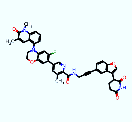 Cc1cc(-c2cc3c(cc2F)N(c2cccc4c2cc(C)c(=O)n4C)CCO3)cnc1C(=O)NCC#Cc1ccc2occ(C3CCC(=O)NC3=O)c2c1